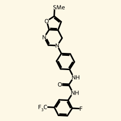 CSc1cc2c(o1)N=CN(c1ccc(NC(=O)Nc3cc(C(F)(F)F)ccc3F)cc1)C2